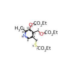 CCOC(=O)OCc1c(CSC(=O)OCC)cnc(C)c1OC(=O)OCC